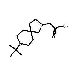 CC(C)(C)N1CCC2(CCN(CC(=O)O)C2)CC1